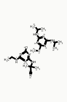 CCNc1nc(Cl)nc(NC(C)(C)C#N)n1.COc1nc(NC(C)C)nc(NC(C)C)n1